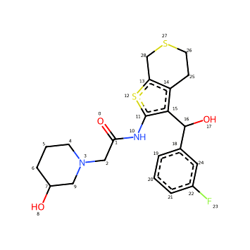 O=C(CN1CCCC(O)C1)Nc1sc2c(c1C(O)c1cccc(F)c1)CCSC2